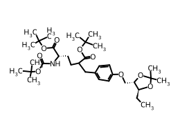 CC[C@@H]1OC(C)(C)O[C@H]1COc1ccc(CC(CC[C@H](NC(=O)OC(C)(C)C)C(=O)OC(C)(C)C)C(=O)OC(C)(C)C)cc1